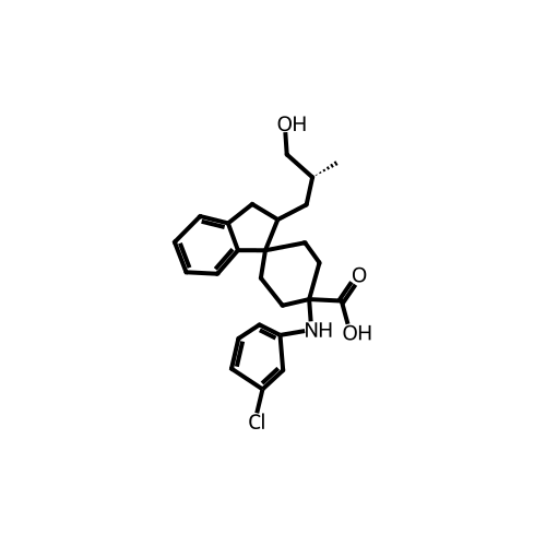 C[C@@H](CO)CC1Cc2ccccc2C12CCC(Nc1cccc(Cl)c1)(C(=O)O)CC2